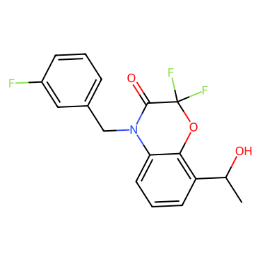 CC(O)c1cccc2c1OC(F)(F)C(=O)N2Cc1cccc(F)c1